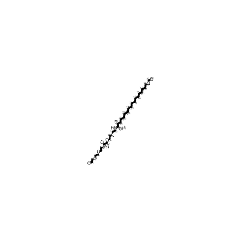 O=CCOCCOCCNC(=O)COCCOCCNC(O)C(=O)CCCCCCCCCCCCCCCCOC=O